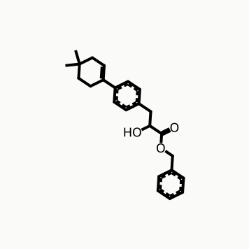 CC1(C)CC=C(c2ccc(CC(O)C(=O)OCc3ccccc3)cc2)CC1